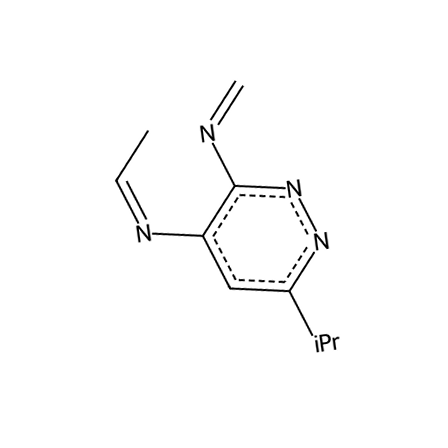 C=Nc1nnc(C(C)C)cc1/N=C\C